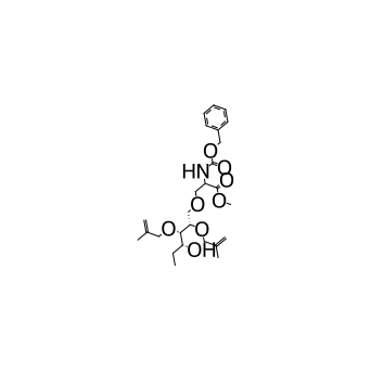 C=C(C)CO[C@@H]([C@H](O)CC)[C@H](COCC(NC(=O)OCc1ccccc1)C(=O)OC)OCC(=C)C